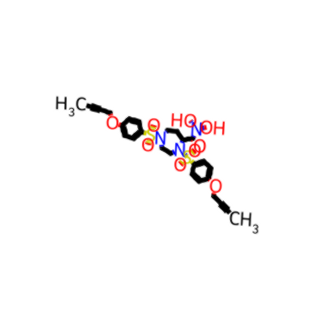 CC#CCOc1ccc(S(=O)(=O)N2CCC(C(=O)N(O)O)N(S(=O)(=O)c3ccc(OCC#CC)cc3)CC2)cc1